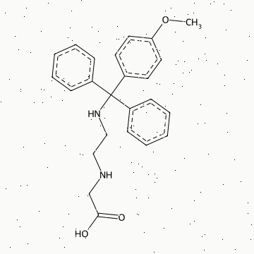 COc1ccc(C(NCCNCC(=O)O)(c2ccccc2)c2ccccc2)cc1